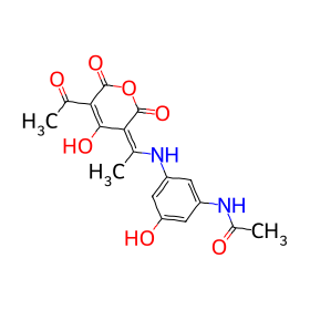 CC(=O)Nc1cc(O)cc(NC(C)=C2C(=O)OC(=O)C(C(C)=O)=C2O)c1